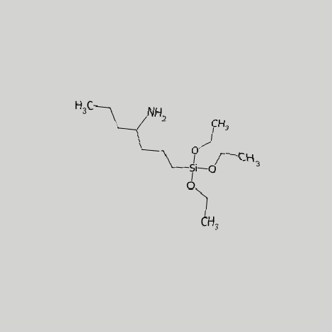 CCCC(N)CCC[Si](OCC)(OCC)OCC